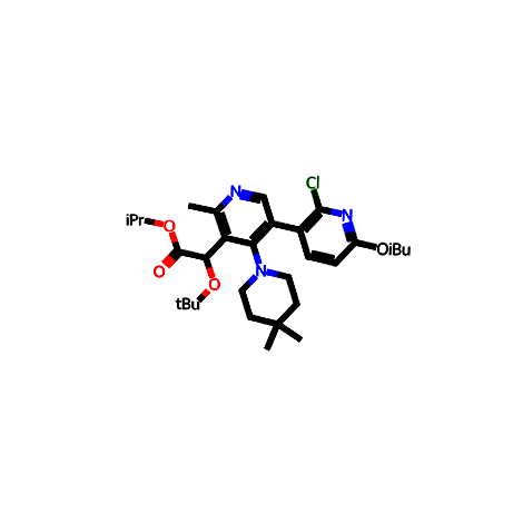 Cc1ncc(-c2ccc(OCC(C)C)nc2Cl)c(N2CCC(C)(C)CC2)c1C(OC(C)(C)C)C(=O)OC(C)C